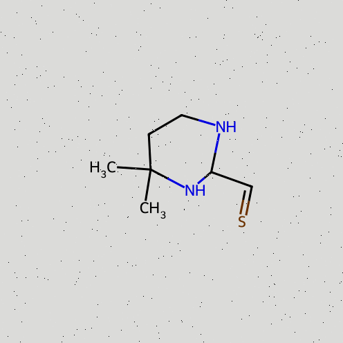 CC1(C)CCNC(C=S)N1